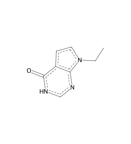 CCn1ccc2c(=O)[nH]cnc21